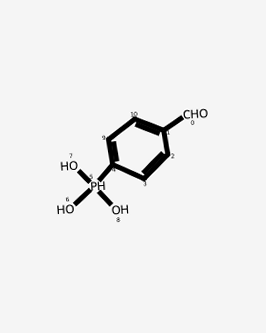 O=Cc1ccc([PH](O)(O)O)cc1